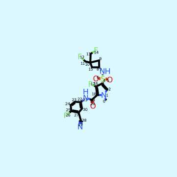 Cn1cc(S(=O)(=O)NC2CC(CF)(CF)C2)c(F)c1C(=O)Nc1ccc(F)c(C#N)c1